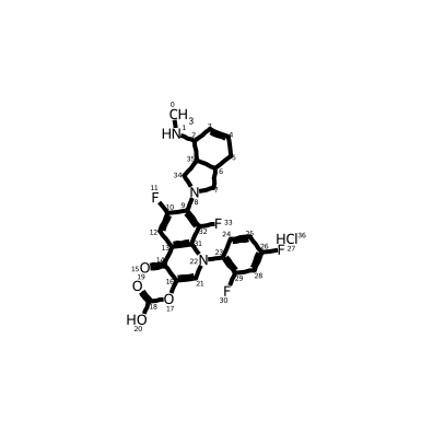 CNC1C=CCC2CN(c3c(F)cc4c(=O)c(OC(=O)O)cn(-c5ccc(F)cc5F)c4c3F)CC21.Cl